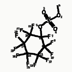 COS(=O)(=O)OC1(F)C(F)(F)C(F)(F)C(F)(F)C(F)(F)C1(F)F